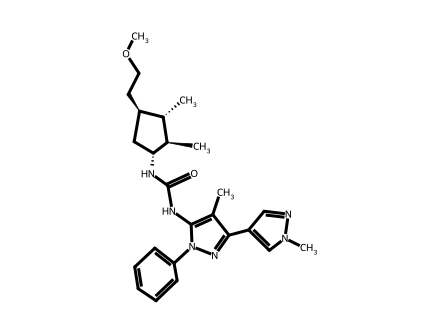 COCC[C@@H]1C[C@@H](NC(=O)Nc2c(C)c(-c3cnn(C)c3)nn2-c2ccccc2)[C@H](C)[C@H]1C